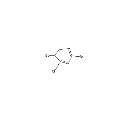 CCC1CC=C(Br)C=C1Cl